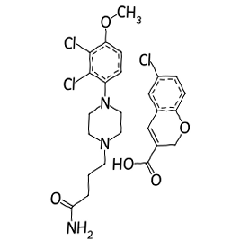 COc1ccc(N2CCN(CCCC(N)=O)CC2)c(Cl)c1Cl.O=C(O)C1=Cc2cc(Cl)ccc2OC1